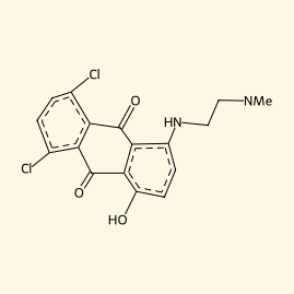 CNCCNc1ccc(O)c2c1C(=O)c1c(Cl)ccc(Cl)c1C2=O